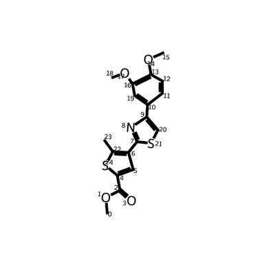 COC(=O)c1cc(-c2nc(-c3ccc(OC)c(OC)c3)cs2)c(C)s1